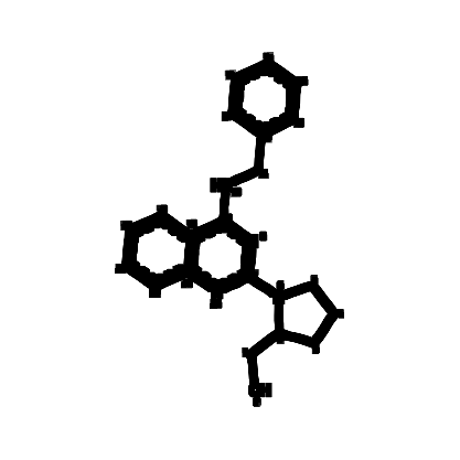 OCC1CCCN1c1nc(NCc2ccccc2)c2ccccc2n1